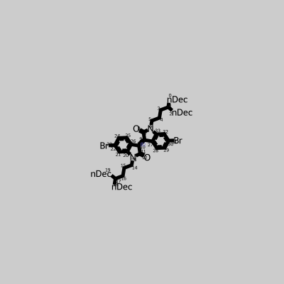 CCCCCCCCCCC(CCCCCCCCCC)CCCN1C(=O)/C(=C2/C(=O)N(CCCC(CCCCCCCCCC)CCCCCCCCCC)c3cc(Br)ccc32)c2ccc(Br)cc21